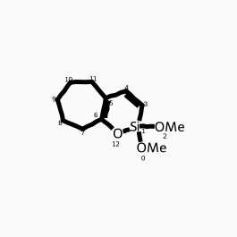 CO[Si]1(OC)C=CC2=C(CCCCC2)O1